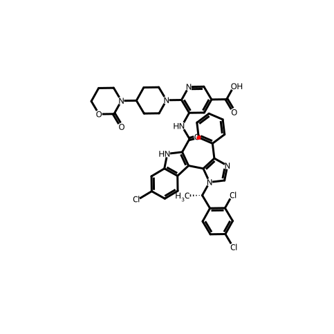 C[C@@H](c1ccc(Cl)cc1Cl)n1cnc(-c2ccccc2)c1-c1c(C(=O)Nc2cc(C(=O)O)cnc2N2CCC(N3CCCOC3=O)CC2)[nH]c2cc(Cl)ccc12